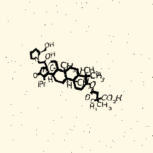 CC(C)C1=C2[C@H]3CC[C@@H]4[C@@]5(C)CC[C@H](OC(=O)CC(C)(C)C(=O)O)C(C)(C)[C@@H]5CC[C@@]4(C)[C@]3(C)CC[C@@]2([C@H](O)CN2CCC[C@H]2CO)CC1=O